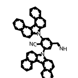 N#Cc1c(-n2c3ccc4ccccc4c3c3c4ccccc4ccc32)cc(C=N)cc1-n1c2ccc3ccccc3c2c2c3ccccc3ccc21